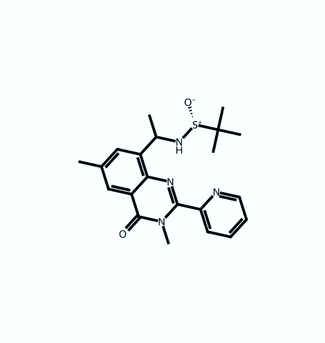 Cc1cc(C(C)N[S@+]([O-])C(C)(C)C)c2nc(-c3ccccn3)n(C)c(=O)c2c1